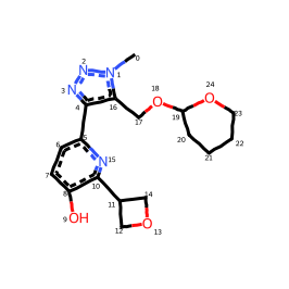 Cn1nnc(-c2ccc(O)c(C3COC3)n2)c1COC1CCCCO1